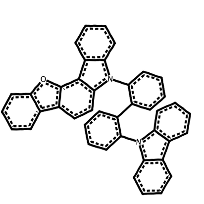 c1ccc(-n2c3ccccc3c3ccccc32)c(-c2ccccc2-n2c3ccccc3c3c4oc5ccccc5c4ccc32)c1